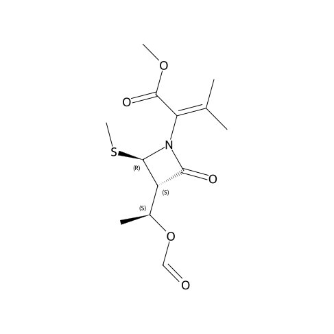 COC(=O)C(=C(C)C)N1C(=O)[C@H]([C@H](C)OC=O)[C@H]1SC